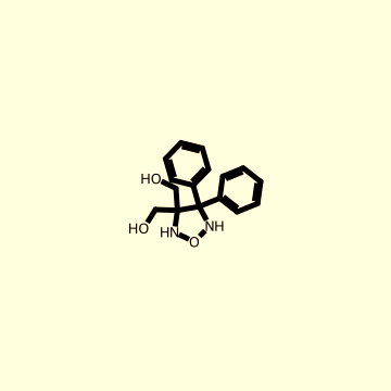 OCC1(CO)NONC1(c1ccccc1)c1ccccc1